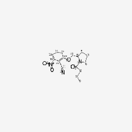 CCCC(=O)N1CCCC1COc1cccc([N+](=O)[O-])c1C#N